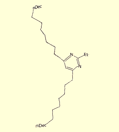 C[CH]c1nc(CCCCCCCCCCCCCCCCC)cc(CCCCCCCCCCCCCCCCC)n1